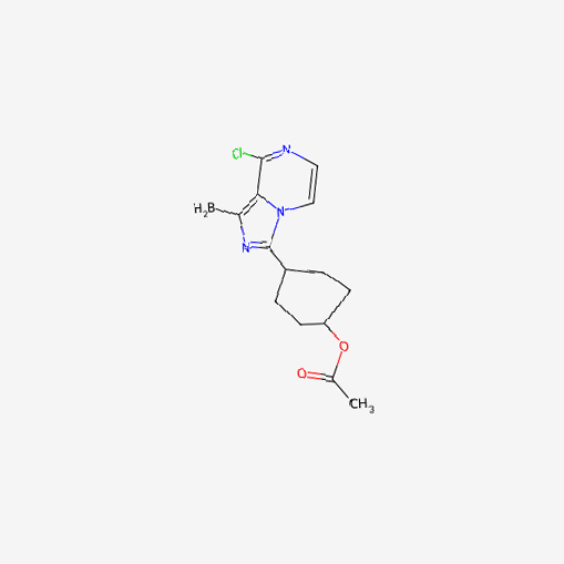 Bc1nc(C2CCC(OC(C)=O)CC2)n2ccnc(Cl)c12